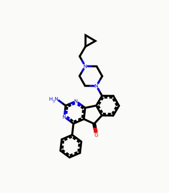 Nc1nc(-c2ccccc2)c2c(n1)-c1c(cccc1N1CCN(CC3CC3)CC1)C2=O